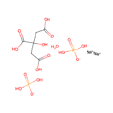 O.O=C(O)CC(O)(CC(=O)O)C(=O)O.O=P([O-])(O)O.O=P([O-])(O)O.[Na+].[Na+]